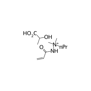 C=CC(=O)N[N+](C)(C)CCC.CC(O)C(=O)O